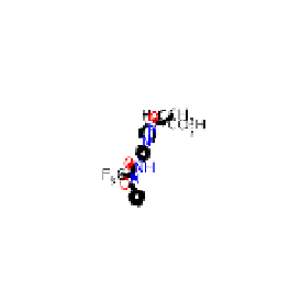 CC(C)(CC(=O)N1CCCN(c2ccc(NC(=O)c3nc(-c4ccccc4)oc3C(F)(F)F)cc2)CC1)C(=O)O